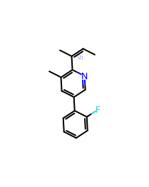 C/C=C(/C)c1ncc(-c2ccccc2F)cc1C